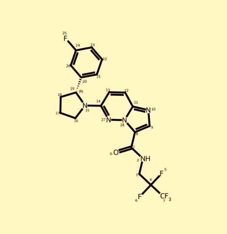 O=C(NCC(F)(F)C(F)(F)F)c1cnc2ccc(N3CCC[C@@H]3c3cccc(F)c3)nn12